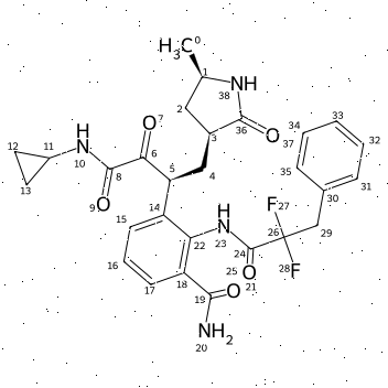 C[C@@H]1C[C@H](C[C@H](C(=O)C(=O)NC2CC2)c2cccc(C(N)=O)c2NC(=O)C(F)(F)Cc2ccccc2)C(=O)N1